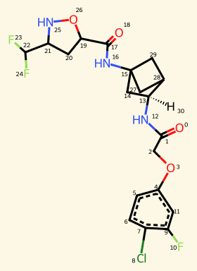 O=C(COc1ccc(Cl)c(F)c1)N[C@H]1CC2(NC(=O)C3CC(C(F)F)NO3)CC1C2